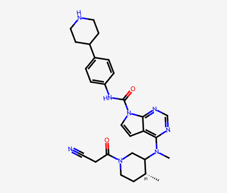 C[C@@H]1CCN(C(=O)CC#N)CC1N(C)c1ncnc2c1ccn2C(=O)Nc1ccc(C2CCNCC2)cc1